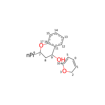 C1=CCOC=C1.CCCC1CC(O)c2ccccc2O1